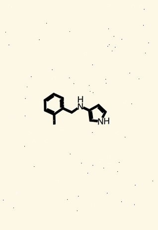 Cc1ccccc1CNc1cc[nH]c1